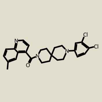 Cc1ccc2nccc(C(=O)N3CCC4(CC3)CCN(c3ccc(Cl)c(Cl)c3)CC4)c2c1